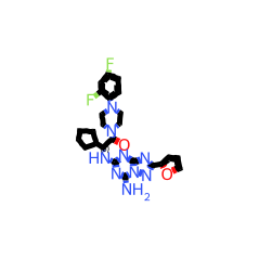 Nc1nc(N[C@H](C(=O)N2CCN(c3ccc(F)cc3F)CC2)C2CCCC2)nc2nc(-c3ccco3)nn12